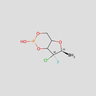 B[C@@H]1OC2COP(O)OC2[C@]1(F)Cl